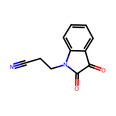 N#CCCN1C(=O)C(=O)c2ccccc21